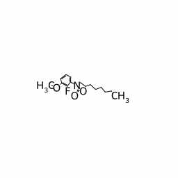 CCCCCCC1CN(c2cccc(OC)c2F)C(=O)O1